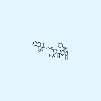 Cc1cc(OCCCNC(=O)c2ccc3ccccc3c2C=O)ccc1Nc1nc(NC2CCCCC2)c2nc[nH]c2n1